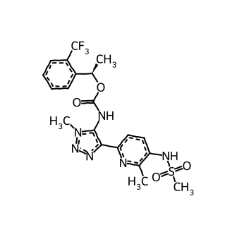 Cc1nc(-c2nnn(C)c2NC(=O)O[C@H](C)c2ccccc2C(F)(F)F)ccc1NS(C)(=O)=O